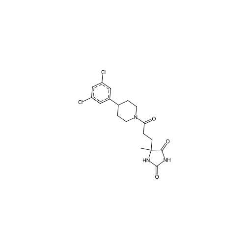 CC1(CCC(=O)N2CCC(c3cc(Cl)cc(Cl)c3)CC2)NC(=O)NC1=O